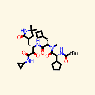 CN(C(=O)[C@H](NC(=O)C(C)(C)C)C1CCCC1)[C@@H](CC1CCC1)C(=O)N[C@@H](C[C@@H]1CC(C)(C)NC1=O)C(=O)C(=O)NC1CC1